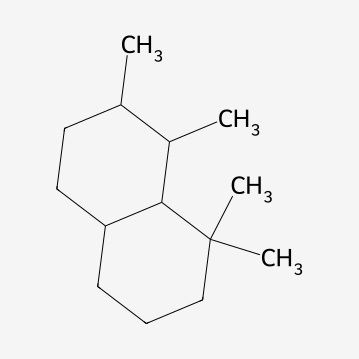 CC1CCC2CCCC(C)(C)C2C1C